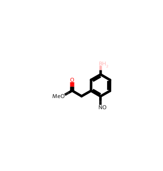 Bc1ccc(N=O)c(CC(=O)OC)c1